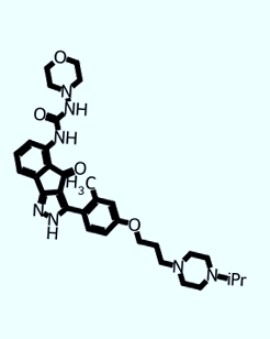 Cc1cc(OCCCN2CCN(C(C)C)CC2)ccc1-c1[nH]nc2c1C(=O)c1c(NC(=O)NN3CCOCC3)cccc1-2